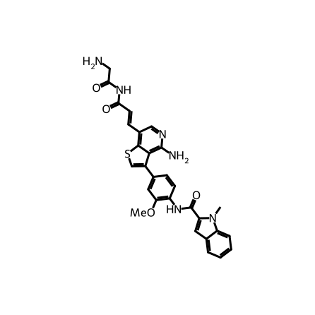 COc1cc(-c2csc3c(C=CC(=O)NC(=O)CN)cnc(N)c23)ccc1NC(=O)c1cc2ccccc2n1C